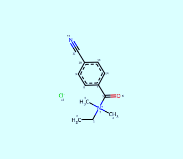 CC[N+](C)(C)C(=O)c1ccc(C#N)cc1.[Cl-]